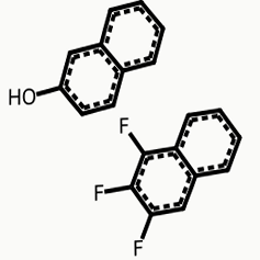 Fc1cc2ccccc2c(F)c1F.Oc1ccc2ccccc2c1